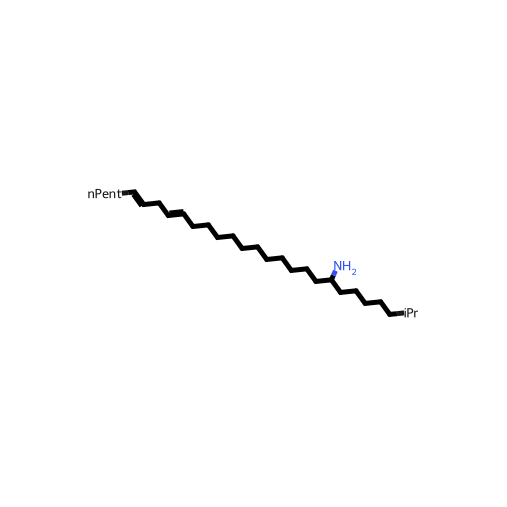 CCCCCC=CCC=CCCCCCCCCCCCC(N)CCCCCC(C)C